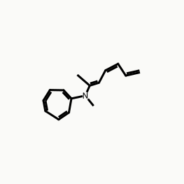 C=C/C=C\C=C(/C)N(C)C1=CC=C=CC=C1